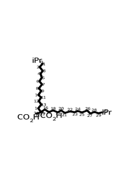 CC(C)CCCCCCCCCCCCCCC(CCCCCCCCCCCCCCC(C)C)(CC(=O)O)C(=O)O